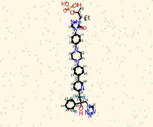 CC[C@@H]([C@H](C)OP(=O)(O)O)n1ncn(-c2ccc(N3CCN(c4ccc(-c5ccc(C(F)(F)C(O)(Cn6cnnn6)c6ccccc6F)nc5)cc4)CC3)cc2)c1=O